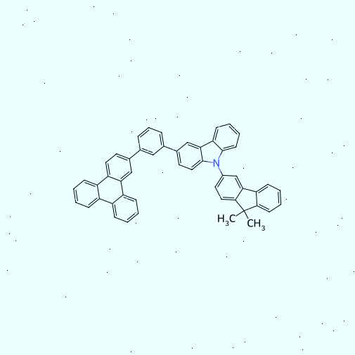 CC1(C)c2ccccc2-c2cc(-n3c4ccccc4c4cc(-c5cccc(-c6ccc7c8ccccc8c8ccccc8c7c6)c5)ccc43)ccc21